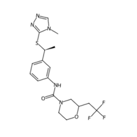 C[C@H](Sc1nncn1C)c1cccc(NC(=O)N2CCOC(CC(F)(F)F)C2)c1